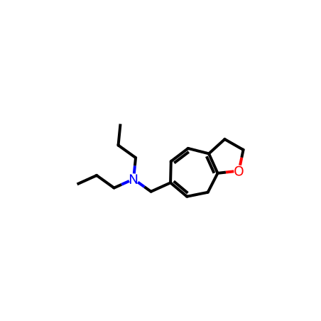 CCCN(CCC)CC1=CCC2=C(C=C1)CCO2